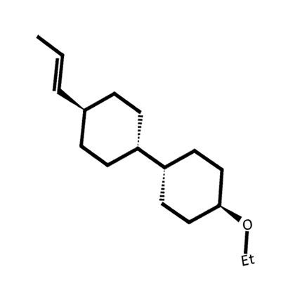 CC=C[C@H]1CC[C@H]([C@H]2CC[C@H](OCC)CC2)CC1